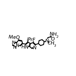 COc1cc(-c2[nH]c3cnc(C4CCC(N(C)CC(N)=O)CC4)c(F)c3c2C(C)C)cn2ncnc12